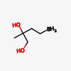 BCCC(C)(O)CO